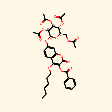 CCCCCCOc1c(OC(=O)c2ccccc2)c(=O)oc2cc(O[C@@H]3O[C@H](COC(C)=O)[C@@H](OC(C)=O)[C@H](OC(C)=O)[C@H]3OC(C)=O)ccc12